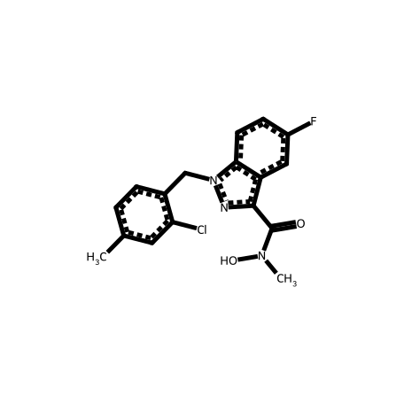 Cc1ccc(Cn2nc(C(=O)N(C)O)c3cc(F)ccc32)c(Cl)c1